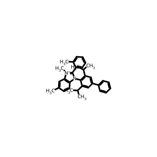 Cc1ccc2c(c1)[n+](C)c(-c1ccccc1C)n2-c1c(C(C)C)cc(-c2ccccc2)cc1C(C)C